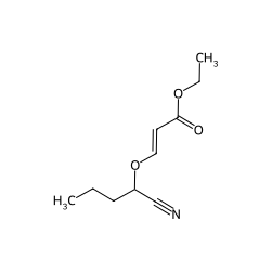 CCCC(C#N)OC=CC(=O)OCC